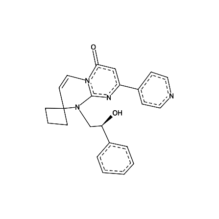 O=c1cc(-c2ccncc2)nc2n1C=CC1(CCC1)N2C[C@@H](O)c1ccccc1